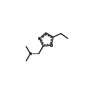 CCc1cnc(CN(C)C)o1